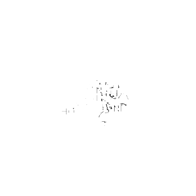 O=C(CCCCCO)N[C@@H]1CCCC[C@@H]1C(=O)N1CC[C@@H]2[C@H](C3C=CC=CC3)Nc3ccccc3[C@@H]21